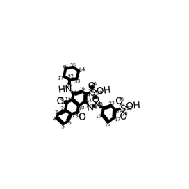 O=C1c2ccccc2C(=O)c2c(N=Nc3cccc(S(=O)(=O)O)c3)c(S(=O)(=O)O)cc(NC3CCCCC3)c21